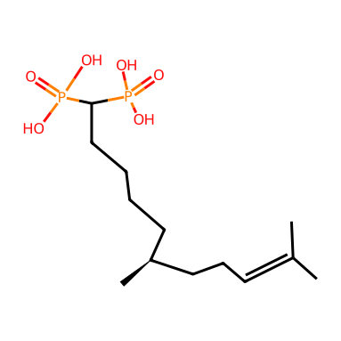 CC(C)=CCC[C@@H](C)CCCCC(P(=O)(O)O)P(=O)(O)O